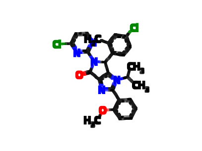 COc1ccccc1-c1nc2c(n1C(C)C)C(c1ccc(Cl)cc1C)N(c1nccc(Cl)n1)C2=O